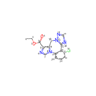 CCOC(=O)c1ncn2c1Cn1ncnc1-c1c(Cl)cccc1-2